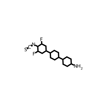 NC1CCC(C2CCC(C3CC(F)C(N=C=S)C(F)C3)CC2)CC1